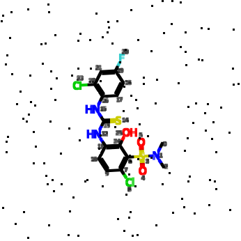 CN(C)S(=O)(=O)c1c(Cl)ccc(NC(=S)Nc2ccc(F)cc2Cl)c1O